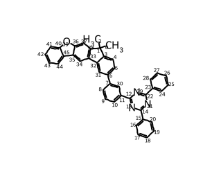 CC1(C)c2ccc(-c3cccc(-c4nc(-c5ccccc5)nc(-c5ccccc5)n4)c3)cc2-c2cc3c(cc21)oc1ccccc13